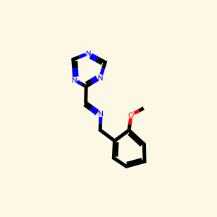 COc1ccccc1CN=Cc1ncncn1